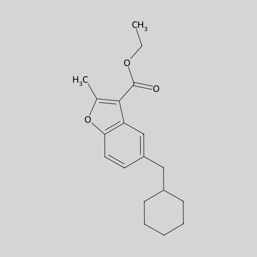 CCOC(=O)c1c(C)oc2ccc(CC3CCCCC3)cc12